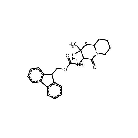 CC1(C)SC2CCCCN2C(=O)[C@H]1NC(=O)OCC1c2ccccc2-c2ccccc21